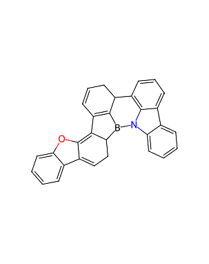 C1=CC2=C3B(C4CC=c5c(oc6ccccc56)=C24)n2c4ccccc4c4cccc(c42)C3C1